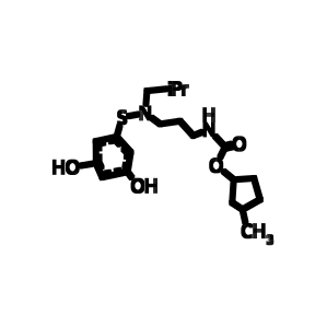 CC(C)CN(CCCNC(=O)OC1CCC(C)C1)Sc1cc(O)cc(O)c1